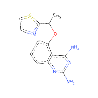 CC(Oc1cccc2nc(N)nc(N)c12)c1nccs1